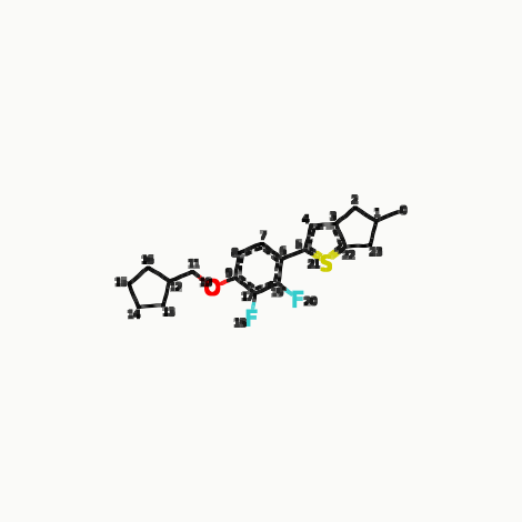 CC1Cc2cc(-c3ccc(OCC4CCCC4)c(F)c3F)sc2C1